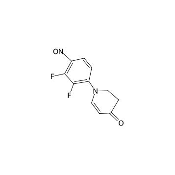 O=Nc1ccc(N2C=CC(=O)CC2)c(F)c1F